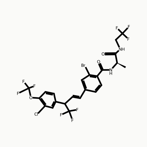 C[C@@H](NC(=O)c1ccc(/C=C/C(c2ccc(OC(F)(F)F)c(Cl)c2)C(F)(F)F)cc1Br)C(=O)NCC(F)(F)F